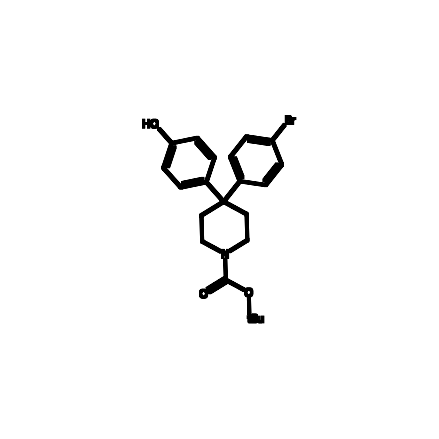 CC(C)(C)OC(=O)N1CCC(c2ccc(O)cc2)(c2ccc(Br)cc2)CC1